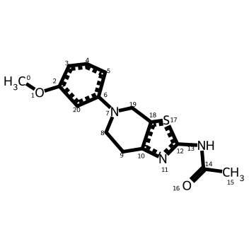 COc1cccc(N2CCc3nc(NC(C)=O)sc3C2)c1